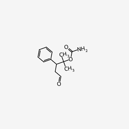 CC(C)(OC(N)=O)C(CC=O)c1ccccc1